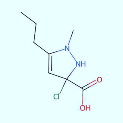 CCCC1=CC(Cl)(C(=O)O)NN1C